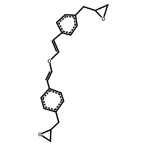 C(=Cc1ccc(CC2CO2)cc1)OC=Cc1ccc(CC2CO2)cc1